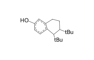 CC(C)(C)C1CCc2cc(O)ccc2C1C(C)(C)C